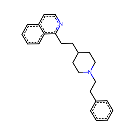 c1ccc(CCN2CCC(CCc3nccc4ccccc34)CC2)cc1